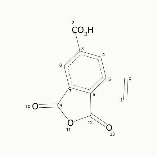 C=C.O=C(O)c1ccc2c(c1)C(=O)OC2=O